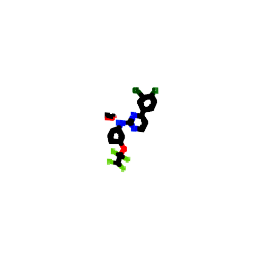 FC(F)C(F)(F)Oc1cccc(Nc2nccc(-c3ccc(Cl)c(Cl)c3)n2)c1.[Na+].[OH-]